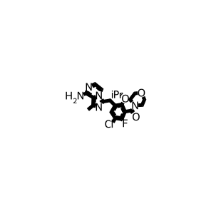 Cc1nc(Cc2cc(Cl)c(F)c(C(=O)N3CCOCC3)c2OC(C)C)n2ccnc(N)c12